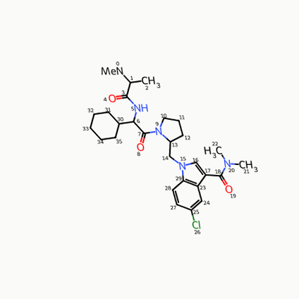 CNC(C)C(=O)NC(C(=O)N1CCCC1Cn1cc(C(=O)N(C)C)c2cc(Cl)ccc21)C1CCCCC1